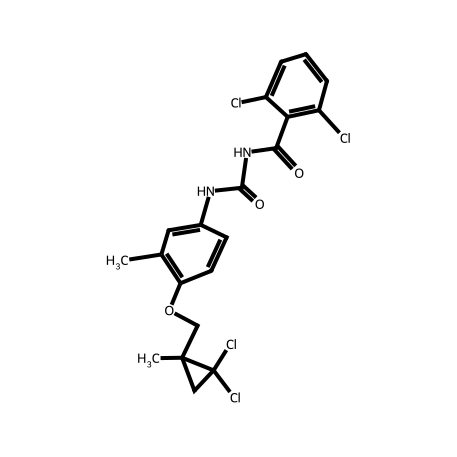 Cc1cc(NC(=O)NC(=O)c2c(Cl)cccc2Cl)ccc1OCC1(C)CC1(Cl)Cl